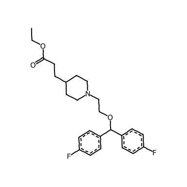 CCOC(=O)CCC1CCN(CCOC(c2ccc(F)cc2)c2ccc(F)cc2)CC1